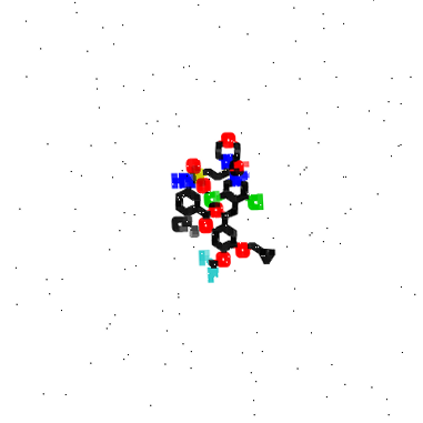 O=C(O[C@@H](Cc1c(Cl)c[n+]([O-])cc1Cl)c1ccc(OC(F)F)c(OCC2CC2)c1)c1cc(NS(=O)(=O)CCCN2CCOCC2)ccc1C(F)(F)F